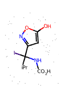 CC(C)C(I)(NC(=O)O)c1cc(O)on1